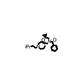 CC(C)CCN1CCC[C@@]2(CC1)CN(C(=O)c1ccccc1)CC1(CC1)O2